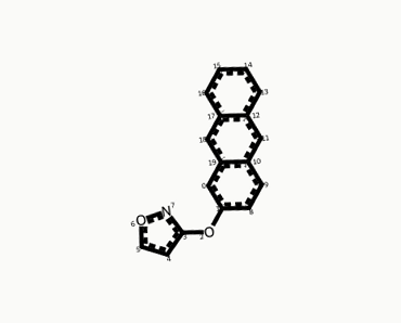 [c]1c(Oc2ccon2)ccc2cc3ccccc3cc12